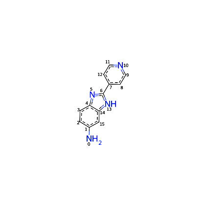 Nc1ccc2nc(-c3ccncc3)[nH]c2c1